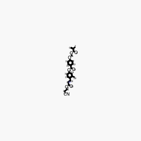 C=C(C)C(=O)OCOc1ccc(C(=O)Oc2ccc(/C=C/C(=O)OCCC#N)c(C)c2)cc1